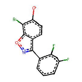 [O]c1ccc2c(-c3cccc(F)c3F)noc2c1Br